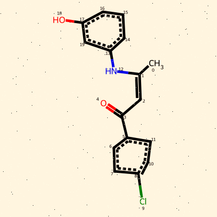 CC(=CC(=O)c1ccc(Cl)cc1)Nc1cccc(O)c1